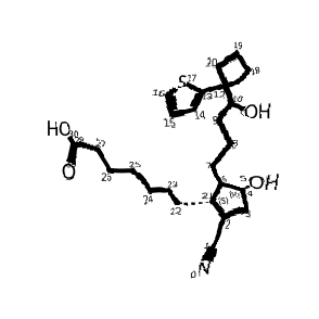 N#CC1C[C@@H](O)C(CCCC(O)C2(c3cccs3)CCC2)[C@H]1CCCCCCC(=O)O